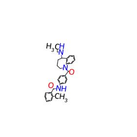 CCNC1CCCN(C(=O)c2ccc(NC(=O)c3ccccc3C)cc2)c2ccccc21